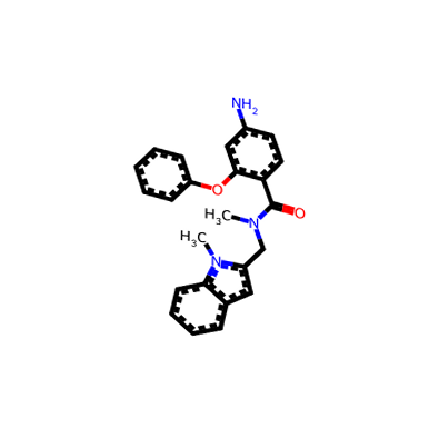 CN(Cc1cc2ccccc2n1C)C(=O)c1ccc(N)cc1Oc1ccccc1